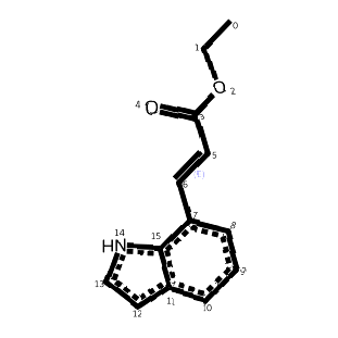 CCOC(=O)/C=C/c1cccc2cc[nH]c12